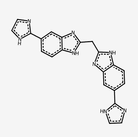 c1c[nH]c(-c2ccc3[nH]c(Cc4nc5cc(-c6ncc[nH]6)ccc5[nH]4)nc3c2)n1